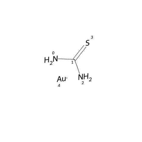 NC(N)=S.[Au]